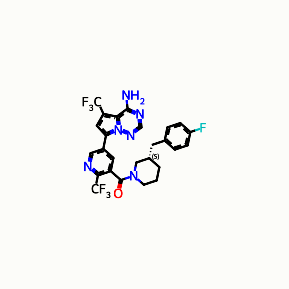 Nc1ncnn2c(-c3cnc(C(F)(F)F)c(C(=O)N4CCC[C@@H](Cc5ccc(F)cc5)C4)c3)cc(C(F)(F)F)c12